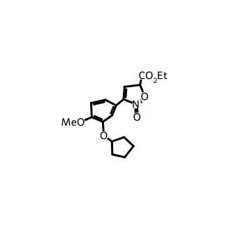 CCOC(=O)C1C=C(c2ccc(OC)c(OC3CCCC3)c2)[N+](=O)O1